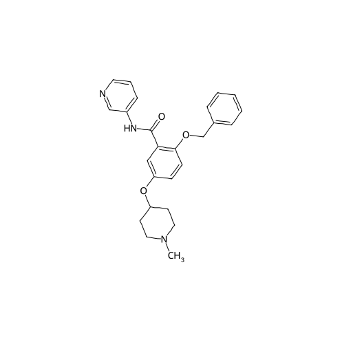 CN1CCC(Oc2ccc(OCc3ccccc3)c(C(=O)Nc3cccnc3)c2)CC1